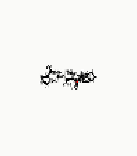 Cc1c(C(=O)N2CC3CCC(C2)C3(O)C(F)(F)F)cnn1-c1nn2cccc2c(=O)[nH]1